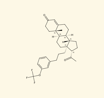 CC(=O)[C@H]1CC[C@H]2[C@@H]3CCC4=CC(=O)CC[C@@]4(C)[C@@H]3CC[C@]12CCCc1cccc(OC(F)(F)F)c1